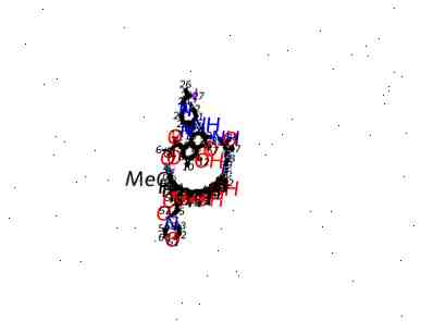 CO[C@H]1/C=C/O[C@@]2(C)Oc3c(C)c(O)c4c(c3C2=O)C2=NC3(CCN(CC(C)I)CC3)NC2=C(NC(=O)/C(C)=C\C=C\[C@H](C)[C@H](O)[C@@H](C)[C@@H](O)[C@@H](C)[C@H](OC(=O)CC(=O)N2CCOCC2)[C@@H]1C)C4=O